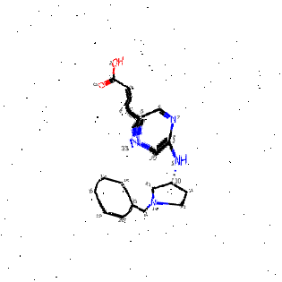 O=C(O)C=Cc1cnc(N[C@@H]2CCN(CC3CCCCC3)C2)cn1